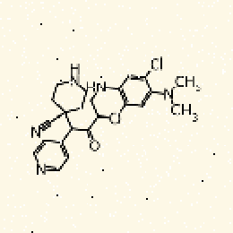 CN(C)c1cc2c(cc1Cl)NCC(C(=O)C(c1ccncc1)C1(C#N)CCNCC1)O2